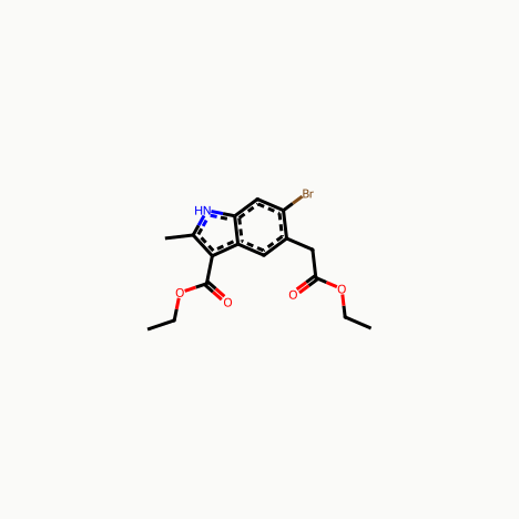 CCOC(=O)Cc1cc2c(C(=O)OCC)c(C)[nH]c2cc1Br